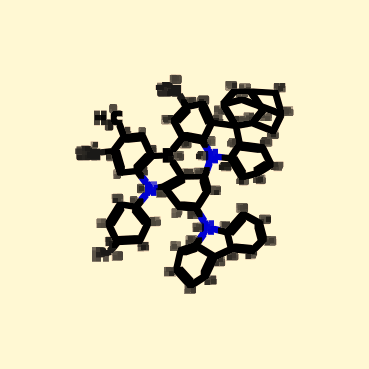 Cc1cc2c(cc1C(C)(C)C)N(c1ccc(C(C)C)cc1)c1cc(-n3c4ccccc4c4ccccc43)cc3c1B2c1cc(C(C)(C)C)cc2c1N3c1ccccc1C21C2CC3CC(C2)CC1C3